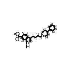 COC(=O)c1ccc2c(CCCCN3CC=C(c4ccccc4)CC3)c[nH]c2c1